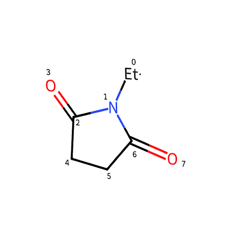 C[CH]N1C(=O)CCC1=O